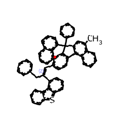 Cc1cc2c(c3ccccc13)-c1ccc(/C=C(/Cc3ccccc3)c3cccc4sc5ccccc5c34)cc1C2(c1ccccc1)c1cccc2ccccc12